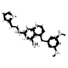 COc1cc(Cc2ccnc3nc(NCCc4cccs4)nc(N)c23)cc(OC)c1